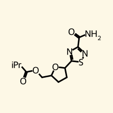 CC(C)C(=O)OCC1CCC(c2nc(C(N)=O)ns2)O1